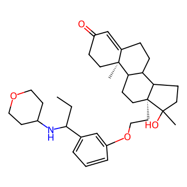 CCC(NC1CCOCC1)c1cccc(OCC[C@]23CCC4C(CCC5=CC(=O)CC[C@@]54C)C2CCC3(C)O)c1